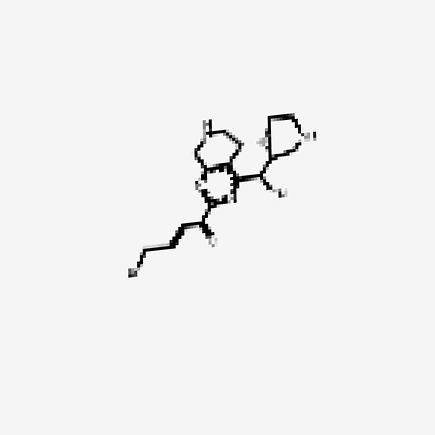 N#CC(c1nc(C(=O)C=CCBr)nc2c1CCNC2)C1CNCCN1